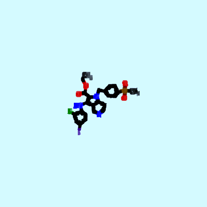 CCOC(=O)c1c(Nc2ccc(I)cc2F)c2cnccc2n1Cc1ccc(S(C)(=O)=O)cc1